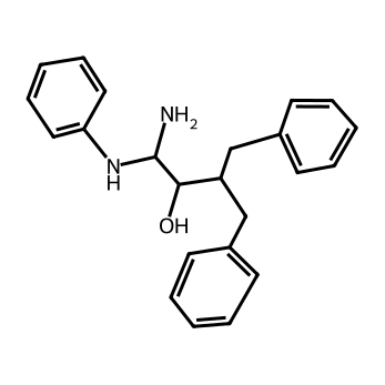 NC(Nc1ccccc1)C(O)C(Cc1ccccc1)Cc1ccccc1